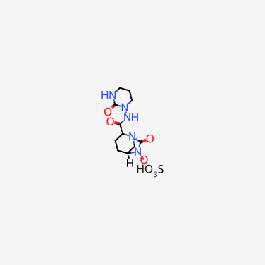 O=C(NN1CCCNC1=O)[C@@H]1CC[C@@H]2CN1C(=O)N2OS(=O)(=O)O